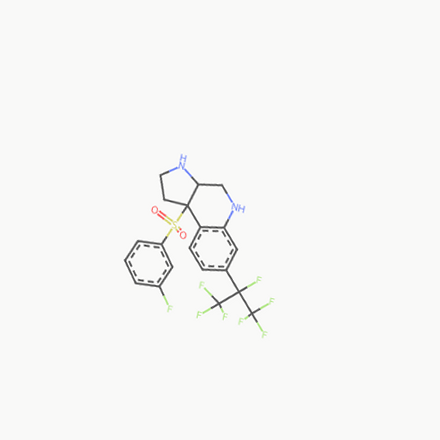 O=S(=O)(c1cccc(F)c1)C12CCNC1CNc1cc(C(F)(C(F)(F)F)C(F)(F)F)ccc12